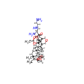 CC(=O)O[C@@H]1C[C@@]23COC[C@](C)([C@@H]2CC[C@H]2C3=CC[C@@]3(C)[C@H](C(=O)O)[C@@](C)([C@H](C)C(C)C)CC[C@]23C)[C@H]1OC(=O)C(N)CNCCN